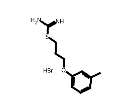 Br.Cc1cccc(OCCCSC(=N)N)c1